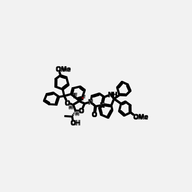 COc1ccc(C(Nc2ccn(C3O[C@H](C(C)O)[C@@H](OC(c4ccccc4)(c4ccccc4)c4ccc(OC)cc4)C3(F)F)c(=O)n2)(c2ccccc2)c2ccccc2)cc1